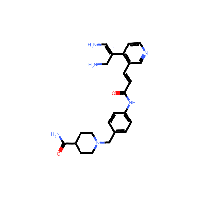 N/C=C(\CN)c1ccncc1/C=C/C(=O)Nc1ccc(CN2CCC(C(N)=O)CC2)cc1